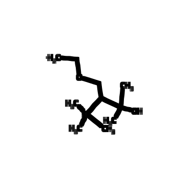 [CH2]COCC(C(C)(C)O)[Si](C)(C)C